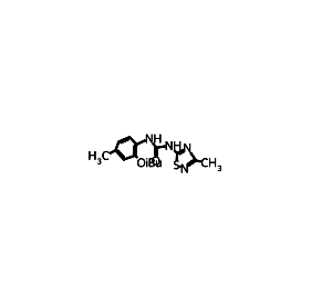 Cc1ccc(NC(=O)Nc2nc(C)ns2)c(OCC(C)C)c1